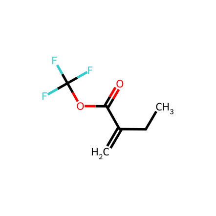 C=C(CC)C(=O)OC(F)(F)F